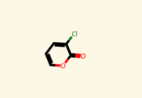 O=c1occcc1Cl